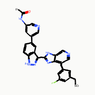 CCC(=O)Nc1cncc(-c2ccc3[nH]nc(-c4nc5c(-c6cc(F)cc(CN=O)c6)cncc5[nH]4)c3c2)c1